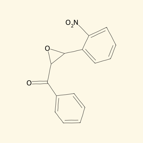 O=C(c1ccccc1)C1OC1c1ccccc1[N+](=O)[O-]